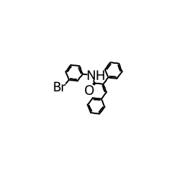 O=C(Nc1cccc(Br)c1)/C(=C\c1ccccc1)c1ccccc1